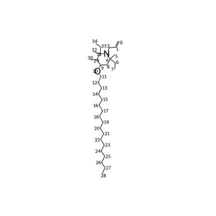 C=CCN1C(C)(CC)CC(OCCCCCCCCCCCCCCCCCC)C(C)C1(C)CC